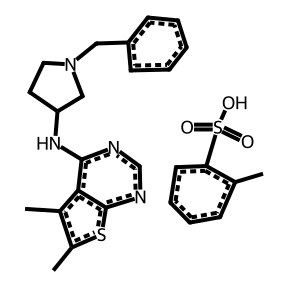 Cc1ccccc1S(=O)(=O)O.Cc1sc2ncnc(NC3CCN(Cc4ccccc4)C3)c2c1C